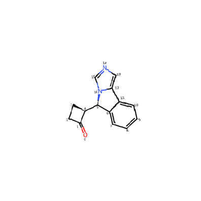 O=C1CC[C@H]1[C@@H]1c2ccccc2-c2cncn21